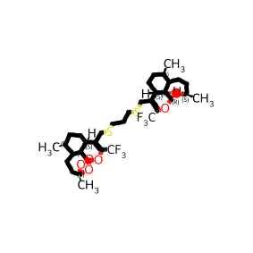 C[C@@H]1CC[C@H]2C(CSCCCSCC3=C(C(F)(F)F)O[C@@H]4O[C@]5(C)CCC6[C@H](C)CC[C@@H]3[C@]64OO5)=C(C(F)(F)F)OC3O[C@]4(C)CCC1[C@]32OO4